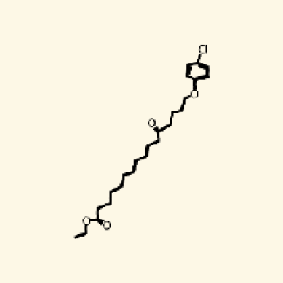 CCOC(=O)CCCCCCCCCCC(=O)CCCCOc1ccc(Cl)cc1